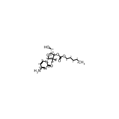 CCCCCOC(=O)O[C@@H]1[C@@H](CO)O[C@@H](n2ccc(N)nc2=O)C1(F)F